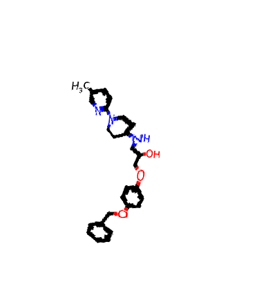 Cc1ccc(N2CCC(NCC(O)COc3ccc(OCc4ccccc4)cc3)CC2)nc1